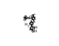 COc1ccc(C[C@@H](C[C@H](N)[C@@H](O)C[C@@H](C)C(=O)O)C(C)C)cc1OCCCS(C)(=O)=O